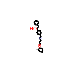 OC(Cc1ccccc1)c1ccc(/C=C/CCCOc2[c]cccc2)cc1